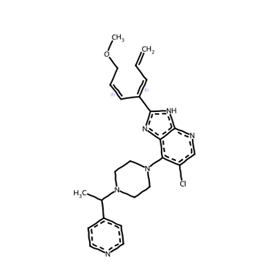 C=C/C=C(\C=C/COC)c1nc2c(N3CCN(C(C)c4ccncc4)CC3)c(Cl)cnc2[nH]1